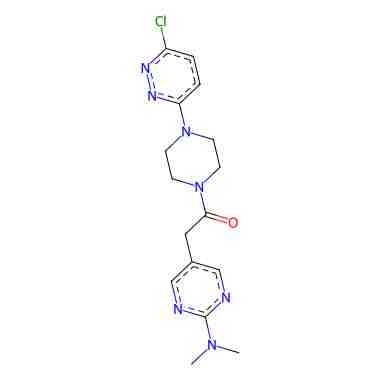 CN(C)c1ncc(CC(=O)N2CCN(c3ccc(Cl)nn3)CC2)cn1